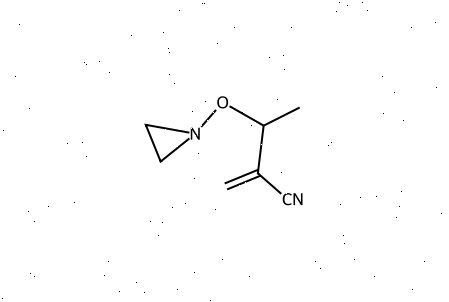 C=C(C#N)C(C)ON1CC1